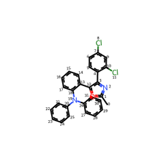 Cc1nc(-c2ccc(Cl)cc2Cl)c(-c2ccccc2N(c2ccccc2)c2ccccc2)o1